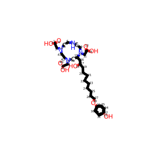 O=C(O)CN1CCNCCN(CC(=O)O)C(CC(O)CCCCCCCCCOc2ccc(O)cc2)CN(CC(=O)O)CC1